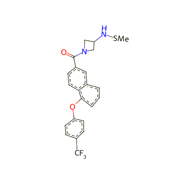 CSNC1CN(C(=O)c2ccc3c(Oc4ccc(C(F)(F)F)cc4)cccc3c2)C1